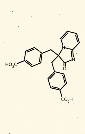 O=C(O)c1ccc(CC2(Cc3ccc(C(=O)O)cc3)C(=O)N=C3C=CC=CN32)cc1